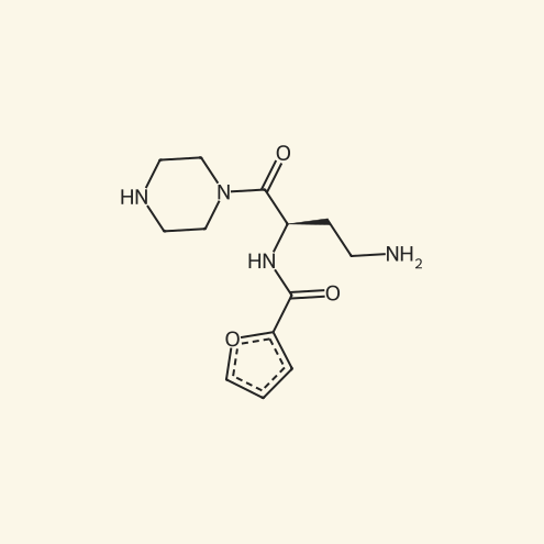 NCC[C@@H](NC(=O)c1ccco1)C(=O)N1CCNCC1